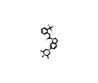 CC1CN(c2ccc3c(c2)N(C(=O)Cc2ccccc2C(F)(F)F)CC3)CC(C)N1C